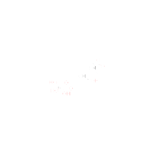 CC12CCC(OC3OCC(O)[C@@H](O)C3O)CC1CCC1C2CCC2(C)C(C3=CCOC3=O)CCC12O